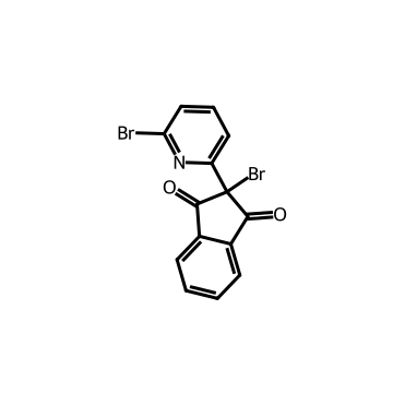 O=C1c2ccccc2C(=O)C1(Br)c1cccc(Br)n1